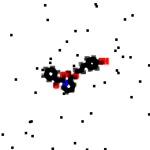 O=C(C(=O)N1CCCCC1C(=O)OCCCc1ccc(O)cc1)C1CCCCC1